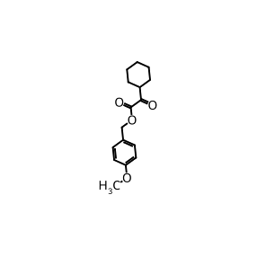 COc1ccc(COC(=O)C(=O)C2CCCCC2)cc1